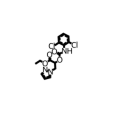 CCOC(=O)C(Cn1cccn1)OC(=O)Nc1c(Cl)cccc1Cl